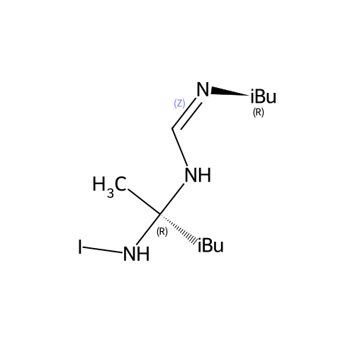 CCC(C)[C@@](C)(NI)N/C=N\[C@H](C)CC